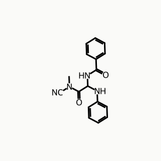 CN(C#N)C(=O)C(NC(=O)c1ccccc1)Nc1ccccc1